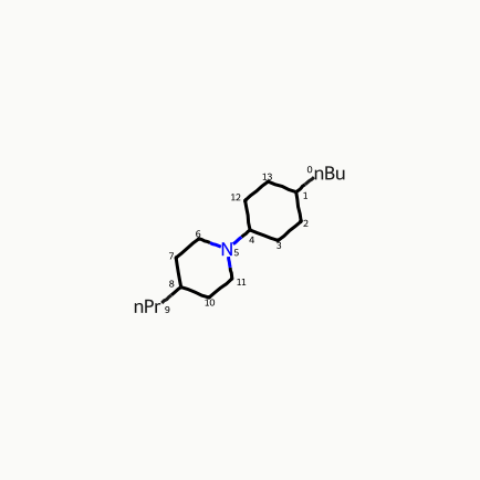 CCCCC1CCC(N2CCC(CCC)CC2)CC1